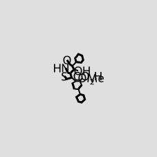 COC1C=C(c2ccccc2)C=CC1(C(=O)O)c1csc2[nH]c(=O)c(-c3ccccc3)c(O)c12